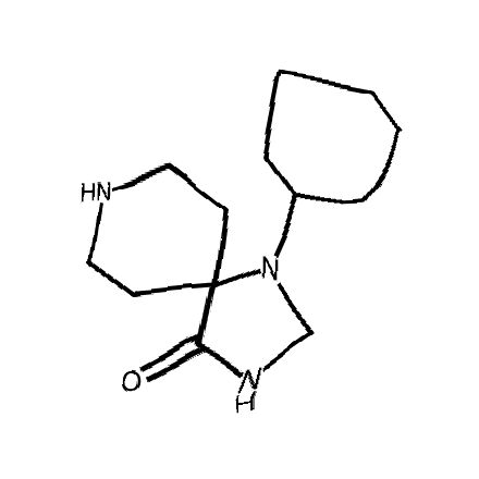 O=C1NCN(C2CCCCC2)C12CCNCC2